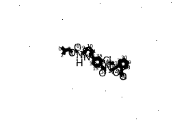 CC(C)COC(=O)Nc1cccc(-c2ccc(C(=O)N3CC[C@@]4(C3)OC(=O)c3ccccc34)c(Cl)c2)n1